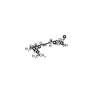 CN(C)c1ccc2c(-c3ccc(C(=O)NCCCCCNC(=O)c4ccc5c(c4)CN(C(=O)c4c(O)cc(O)cc4OCc4ccccc4)C5)cc3C(=O)[O-])c3ccc(=[N+](C)C)cc-3oc2c1